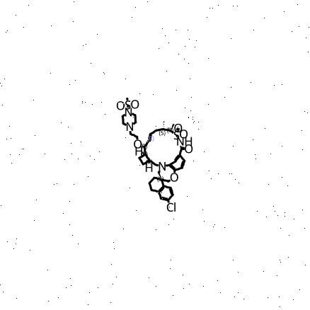 C[C@@H]1[C@@H](C)C/C=C/[C@H](OCCN2CCN(S(C)(=O)=O)CC2)[C@@H]2CC[C@H]2CN2C[C@@]3(CCCc4cc(Cl)ccc43)COc3ccc(cc32)C(=O)NS1(=O)=O